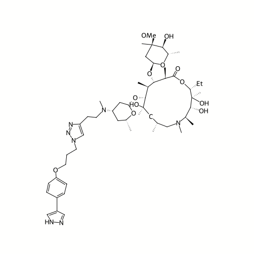 CC[C@H]1OC(=O)[C@H](C)[C@@H](O[C@H]2C[C@@](C)(OC)[C@@H](O)[C@H](C)O2)[C@H](C)[C@@H](O[C@H]2C[C@@H](N(C)CCc3cn(CCCOc4ccc(-c5cn[nH]c5)cc4)nn3)C[C@@H](C)O2)[C@](C)(O)C[C@@H](C)CN(C)[C@H](C)[C@@H](O)[C@]1(C)O